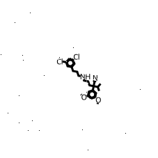 COc1cc(OC)cc(C(C#N)(CCCNCCCc2cc(Cl)cc(Cl)c2)C(C)C)c1